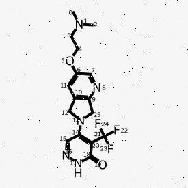 CN(C)CCOc1cnc2c(c1)CN(c1cn[nH]c(=O)c1C(F)(F)F)C2